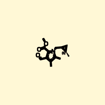 COC(=O)c1c(C=O)c(C)c(C)n1CC1C[C@@H]1C